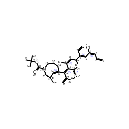 C=C/C=C(Cl)\C=C(/C=C)C(C)\C=C(I)/C(C(/C)=N\C)=C(C(=C)C)\C1=C/[C@@H](C)CN(C(=O)OC(C)(C)C)CCC1